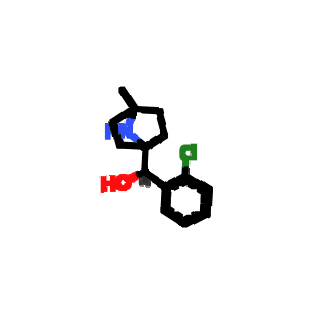 CC12CCC([C@H](O)c3ccccc3Cl)(CC1)N2